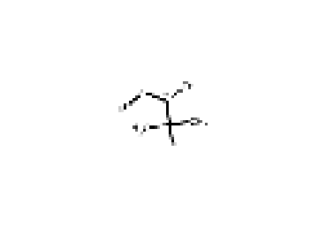 CCS[C@H](CC)C(C)(C)F